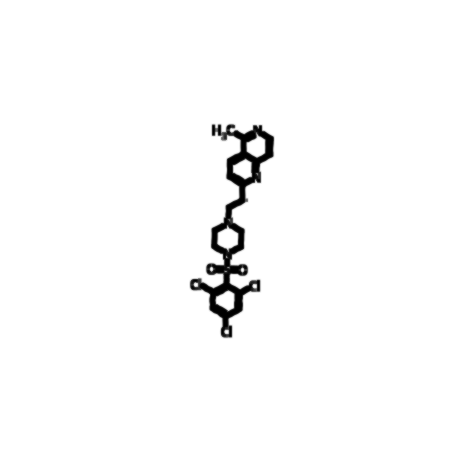 Cc1nccc2nc([CH]CN3CCN(S(=O)(=O)c4c(Cl)cc(Cl)cc4Cl)CC3)ccc12